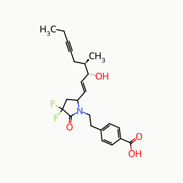 CCC#CC[C@@H](C)[C@H](O)C=CC1CC(F)(F)C(=O)N1CCc1ccc(C(=O)O)cc1